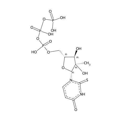 C[C@@]1(O)[C@H](O)[C@@H](COP(=O)(O)OP(=O)(O)OP(=O)(O)O)O[C@H]1n1ccc(=O)[nH]c1=S